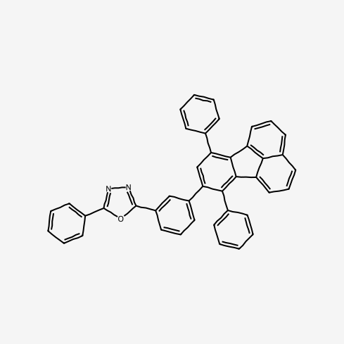 c1ccc(-c2nnc(-c3cccc(-c4cc(-c5ccccc5)c5c(c4-c4ccccc4)-c4cccc6cccc-5c46)c3)o2)cc1